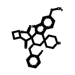 COc1ccc2c3c([nH]c2c1)C(C(=O)O)(C(=O)C1CCC1)N(Cc1ccccc1F)CC31CCNCC1